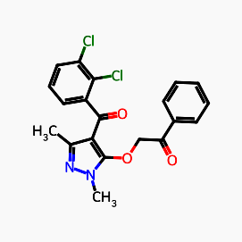 Cc1nn(C)c(OCC(=O)c2ccccc2)c1C(=O)c1cccc(Cl)c1Cl